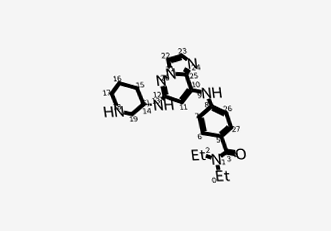 CCN(CC)C(=O)c1ccc(Nc2cc(N[C@H]3CCCNC3)nn3ccnc23)cc1